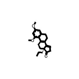 CCC[C@]12CCC3=C(CCc4cc(OC)cc(OC)c43)C1=CCC2=O